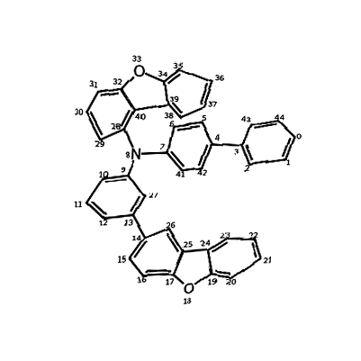 c1ccc(-c2ccc(N(c3cccc(-c4ccc5oc6ccccc6c5c4)c3)c3cccc4oc5ccccc5c34)cc2)cc1